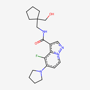 O=C(NCC1(CO)CCCC1)c1cnn2ccc(N3CCCC3)c(F)c12